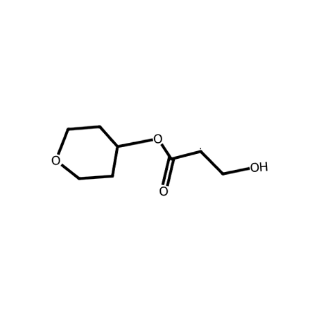 O=C([CH]CO)OC1CCOCC1